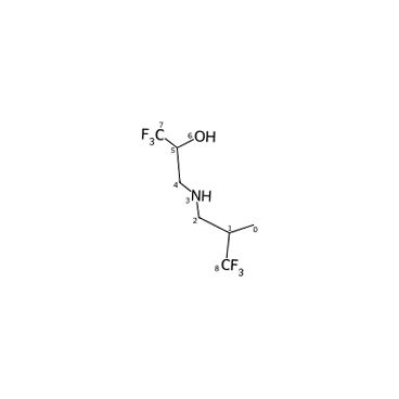 CC(CNCC(O)C(F)(F)F)C(F)(F)F